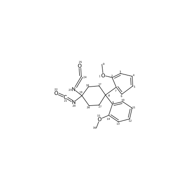 COc1ccccc1C1(c2ccccc2OC)CCC(N=C=O)(N=C=O)CC1